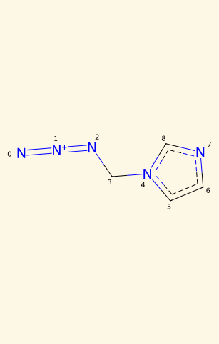 [N-]=[N+]=NCn1ccnc1